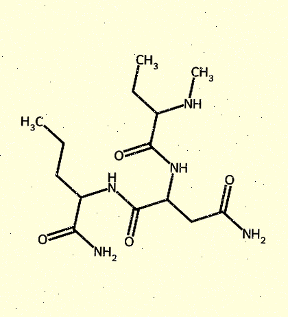 CCCC(NC(=O)C(CC(N)=O)NC(=O)C(CC)NC)C(N)=O